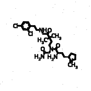 CN1CCC[C@@H]1CC[C@H](N)C(=O)N(CCC(C)(C)C(=O)CNCCc1ccc(Cl)cc1Cl)CC(N)=O